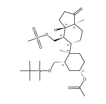 C=C1CC[C@H]2[C@H](COS(C)(=O)=O)[C@@H]([C@@]3(C)CC[C@H](OC(C)=O)C[C@@H]3CO[Si](C)(C)C(C)(C)C)CC[C@]12C